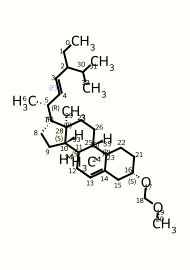 CCC(/C=C/[C@@H](C)[C@H]1CC[C@H]2[C@@H]3CC=C4C[C@@H](OCOC)CC[C@]4(C)[C@H]3CC[C@]12C)C(C)C